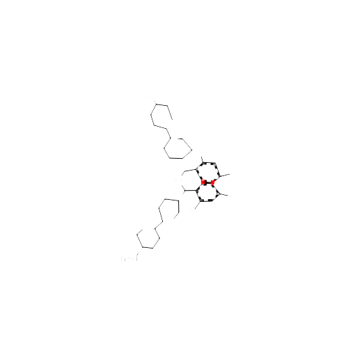 CCCC[C@H]1CC[C@H]([C@H]2CC[C@H](C(OC(c3ccc(F)cc3F)[C@H]3CC[C@H]([C@H]4CC[C@H](CCCC)CC4)CC3)c3ccc(F)cc3F)CC2)CC1